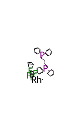 C1=CC2C=CC1C2.F[B-](F)(F)F.[Rh].c1ccc(P(CCCCP(c2ccccc2)c2ccccc2)c2ccccc2)cc1